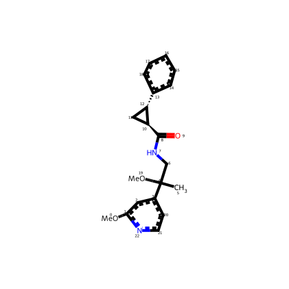 COc1cc(C(C)(CNC(=O)[C@H]2C[C@@H]2c2ccccc2)OC)ccn1